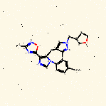 COc1ccc2c(c1)-c1nn(CC3CCOC3)cc1Cc1c(-c3nc(C(F)(F)F)no3)ncn1-2